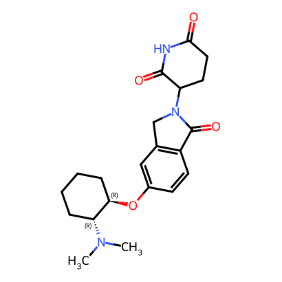 CN(C)[C@@H]1CCCC[C@H]1Oc1ccc2c(c1)CN(C1CCC(=O)NC1=O)C2=O